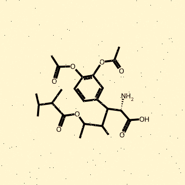 CC(=O)Oc1ccc(C(C(C)C(C)OC(=O)C(C)C(C)C)[C@H](N)C(=O)O)cc1OC(C)=O